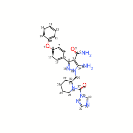 NC(=O)c1c(-c2ccc(Oc3ccccc3)cc2)nn(C[C@@H]2CCCCN2C(=O)n2cncn2)c1N